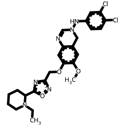 CCN1CCCCC1c1nc(COc2cc3c(cc2OC)CN(Nc2ccc(Cl)c(Cl)c2)C=N3)no1